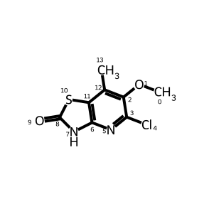 COc1c(Cl)nc2[nH]c(=O)sc2c1C